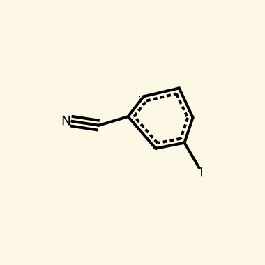 N#Cc1[c]ccc(I)c1